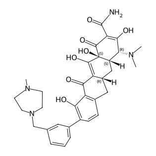 CN1CCN(Cc2cccc(-c3ccc4c(c3O)C(=O)C3=C(O)[C@]5(O)C(=O)C(C(N)=O)=C(O)[C@H](N(C)C)[C@@H]5C[C@@H]3C4)c2)CC1